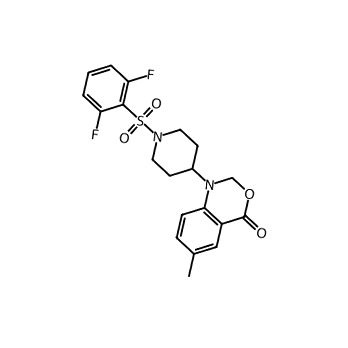 Cc1ccc2c(c1)C(=O)OCN2C1CCN(S(=O)(=O)c2c(F)cccc2F)CC1